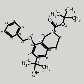 CC(C)(C)OC(=O)N1CCc2cc(C(C)(C)O)cc(OCc3ccccc3)c2C1